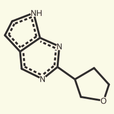 c1cc2cnc(C3CCOC3)nc2[nH]1